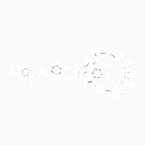 CO[C@H]1/C=C/O[C@@]2(C)Oc3c(C)c(O)c4c(c3C2=O)C2=NC3(CCN(Cc5cccc(CO[C@@H]6COc7nc([N+](=O)[O-])cn7C6)c5)CC3)NC2=C(NC(=O)/C(C)=C\C=C\[C@H](C)[C@H](O)[C@@H](C)[C@@H](O)[C@@H](C)[C@H](OC(C)=O)[C@@H]1C)C4=O